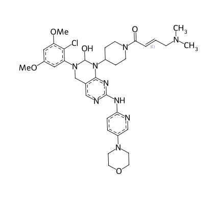 COc1cc(OC)c(Cl)c(N2Cc3cnc(Nc4ccc(N5CCOCC5)cn4)nc3N(C3CCN(C(=O)/C=C/CN(C)C)CC3)C2O)c1